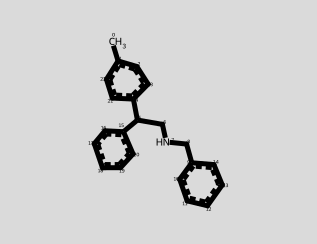 Cc1ccc(C(CNCc2ccccc2)c2ccccc2)cc1